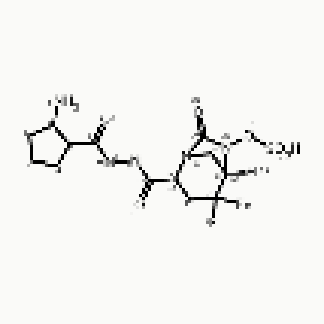 NC1CCCC1C(=O)NNC(=O)[C@@H]1CC(F)(F)[C@@H]2CN1C(=O)N2OS(=O)(=O)O